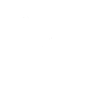 CCCCCCC(=O)OCCc1ccc(O)cc1